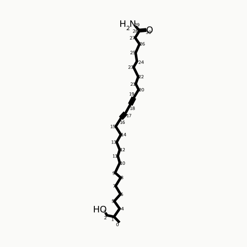 CC(CO)CCCCCCCCCCCCC#CC#CCCCCCCCCC(N)=O